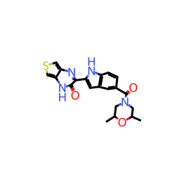 CC1CN(C(=O)c2ccc3[nH]c(-c4nc5cscc5[nH]c4=O)cc3c2)CC(C)O1